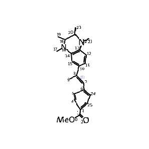 COC(=O)c1ccc(/C=C(\C)c2ccc3c(c2)N(C)C(C)C(C)N3C)cc1